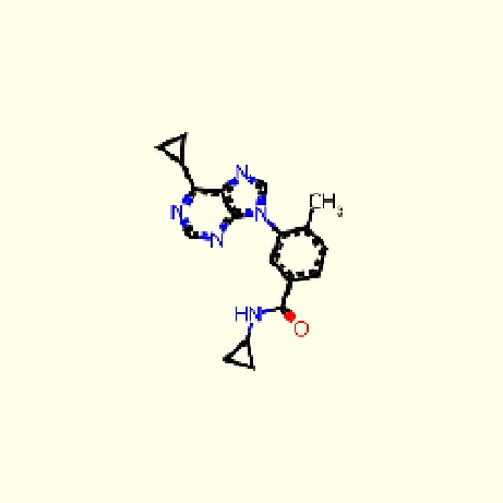 Cc1ccc(C(=O)NC2CC2)cc1-n1cnc2c(C3CC3)ncnc21